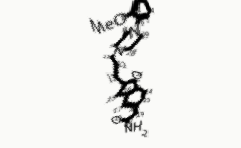 COc1ccccc1N1CCN(CCCC2Cc3cc(CC(N)=O)ccc3C2=O)CC1